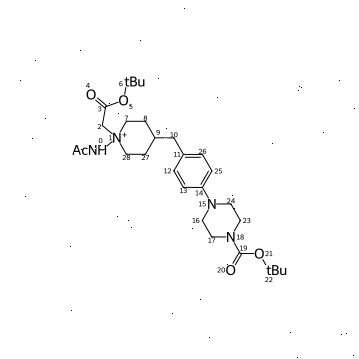 CC(=O)N[N+]1(CC(=O)OC(C)(C)C)CCC(Cc2ccc(N3CCN(C(=O)OC(C)(C)C)CC3)cc2)CC1